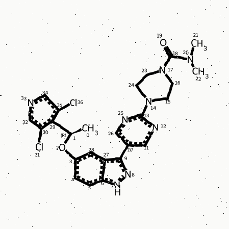 C[C@@H](Oc1ccc2[nH]nc(-c3cnc(N4CCN(C(=O)N(C)C)CC4)nc3)c2c1)c1c(Cl)cncc1Cl